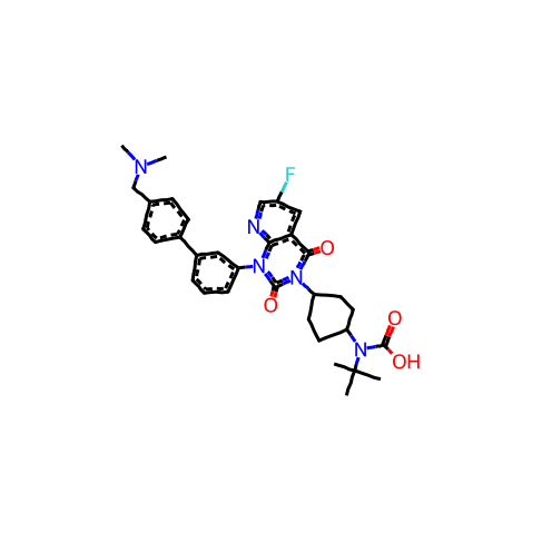 CN(C)Cc1ccc(-c2cccc(-n3c(=O)n(C4CCC(N(C(=O)O)C(C)(C)C)CC4)c(=O)c4cc(F)cnc43)c2)cc1